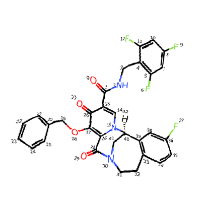 O=C(NCc1c(F)cc(F)cc1F)c1cn2c(c(OCc3ccccc3)c1=O)C(=O)N1CCc3ccc(F)cc3[C@H]2C1